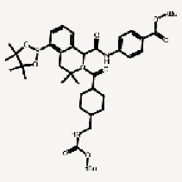 CC(C)(C)OC(=O)NCC1CCC(C(=O)N2C(C(=O)Nc3ccc(C(=O)OC(C)(C)C)cc3)c3cccc(B4OC(C)(C)C(C)(C)O4)c3CC2(C)C)CC1